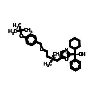 CC(C)(C)Oc1ccc(COCC[N+](C)(C)Cc2cnc([C@](O)(c3ccccc3)C3CCCCC3)o2)cc1